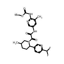 Cc1cc(NC(=O)C(=O)N2CC(C)CCC2c2ccc(C(F)F)nc2)cnc1NC(=O)OC(C)(C)C